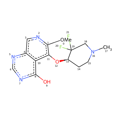 COc1ncc2ncnc(O)c2c1O[C@@H]1CCN(C)CC1(F)F